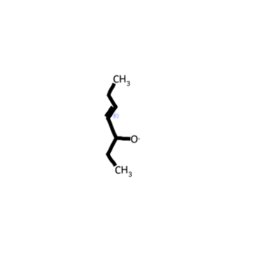 CC/C=C/C([O])CC